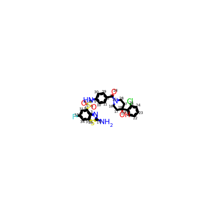 Nc1nc2c(S(=O)(=O)Nc3ccc(C(=O)N4CCC(O)(c5ccccc5Cl)CC4)cc3)cc(F)cc2s1